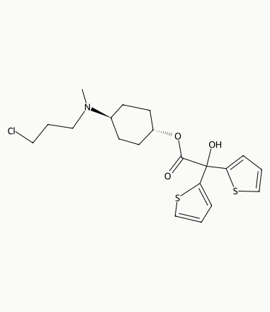 CN(CCCCl)[C@H]1CC[C@H](OC(=O)C(O)(c2cccs2)c2cccs2)CC1